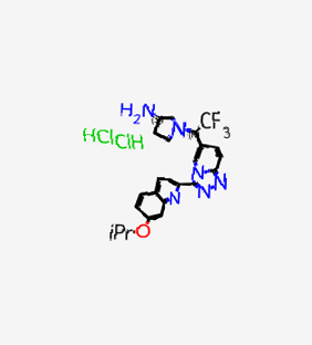 CC(C)Oc1ccc2ccc(-c3nnc4ccc([C@@H](N5CC[C@H](N)C5)C(F)(F)F)cn34)nc2c1.Cl.Cl